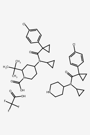 CC(C)(C)C1CC(N(C(=O)C2(c3ccc(Cl)cc3)CC2)C2CC2)CCN1C(=O)O.O=C(N(C1CCNCC1)C1CC1)C1(c2ccc(Cl)cc2)CC1.O=C(O)C(F)(F)F